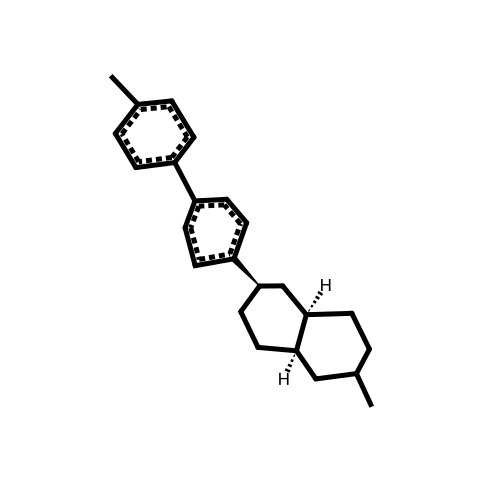 Cc1ccc(-c2ccc([C@@H]3CC[C@@H]4CC(C)CC[C@@H]4C3)cc2)cc1